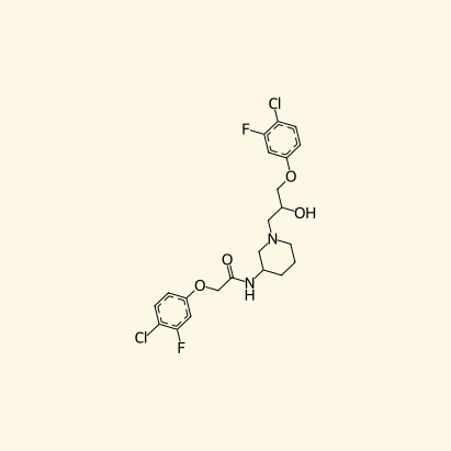 O=C(COc1ccc(Cl)c(F)c1)NC1CCCN(CC(O)COc2ccc(Cl)c(F)c2)C1